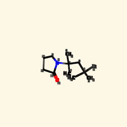 CCC(C)(C)CC(C)(C)N1CCCC1=O